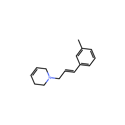 Cc1cccc(C=CCN2CC=[C]CC2)c1